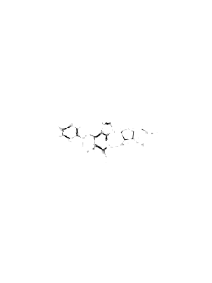 C[C@H](Nc1c(C#N)c(Cl)nc2c1ncn2[C@@H]1O[C@H](CO)[C@@H](O)[C@H]1O)c1ccc(F)cc1